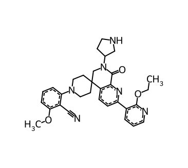 CCOc1ncccc1-c1ccc2c(n1)C(=O)N(C1CCNC1)CC21CCN(c2cccc(OC)c2C#N)CC1